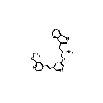 COc1cc(C=Cc2cncc(OC[C@@H](N)Cc3c[nH]c4ccccc34)c2)ccn1